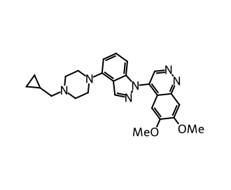 COc1cc2nncc(-n3ncc4c(N5CCN(CC6CC6)CC5)cccc43)c2cc1OC